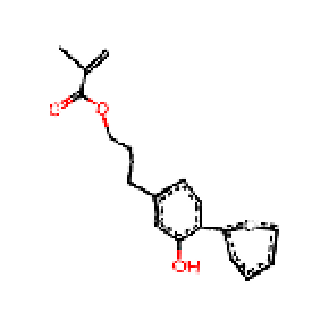 C=C(C)C(=O)OCCCc1ccc(-c2ccccc2)c(O)c1